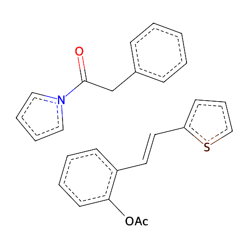 CC(=O)Oc1ccccc1/C=C/c1cccs1.O=C(Cc1ccccc1)n1cccc1